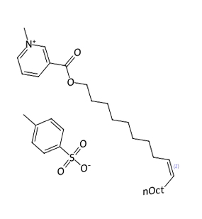 CCCCCCCC/C=C\CCCCCCCCOC(=O)c1ccc[n+](C)c1.Cc1ccc(S(=O)(=O)[O-])cc1